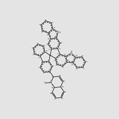 CN1C(c2ccc3c(c2)C2(c4ccccc4-3)c3cc4c(cc3-c3c2ccc2c3oc3ccccc32)oc2ccccc24)C=CC2C=CC=CC21